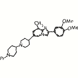 COc1ccc(-c2cn3cc(C4CCN(C5CCN(C(C)C)CC5)CC4)cc(C)c3n2)cc1OC